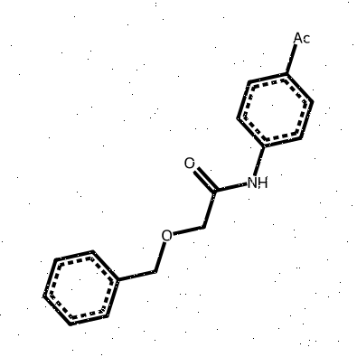 CC(=O)c1ccc(NC(=O)COCc2ccccc2)cc1